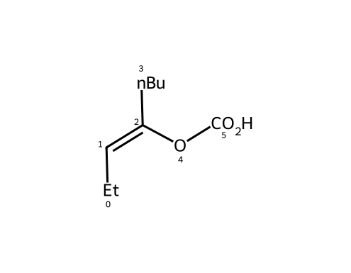 CCC=C(CCCC)OC(=O)O